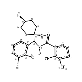 CN(C(=O)c1nccc(C(F)(F)F)c1Cl)C(c1cccc(F)c1Cl)[C@]1(O)CC[C@@H](F)CC1